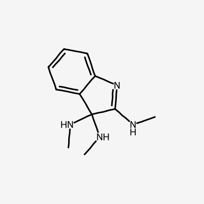 CNC1=Nc2ccccc2C1(NC)NC